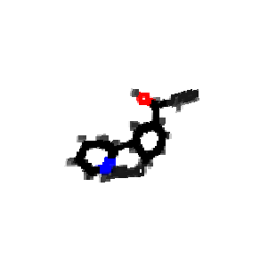 COC(=O)c1ccc(OC)c(-c2ccccn2)c1